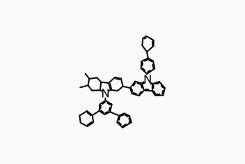 CC1CC2C3=C(CC(c4ccc5c6ccccc6n(-c6ccc(C7C=CC=CC7)cc6)c5c4)C=C3)N(c3cc(C4=CCCC=C4)cc(-c4ccccc4)c3)C2CC1C